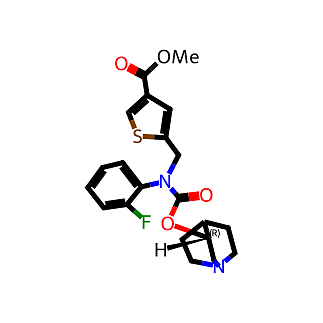 COC(=O)c1csc(CN(C(=O)O[C@H]2CN3CCC2CC3)c2ccccc2F)c1